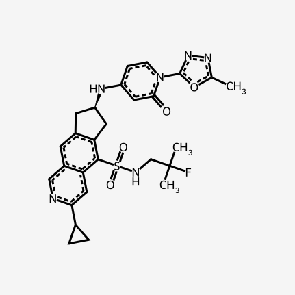 Cc1nnc(-n2ccc(N[C@@H]3Cc4cc5cnc(C6CC6)cc5c(S(=O)(=O)NCC(C)(C)F)c4C3)cc2=O)o1